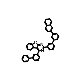 c1ccc(-c2cccc(-c3nc(-c4cccc(-c5cccc(-c6ccc7ccccc7c6)c5)c4)nc4oc5ccccc5c34)c2)cc1